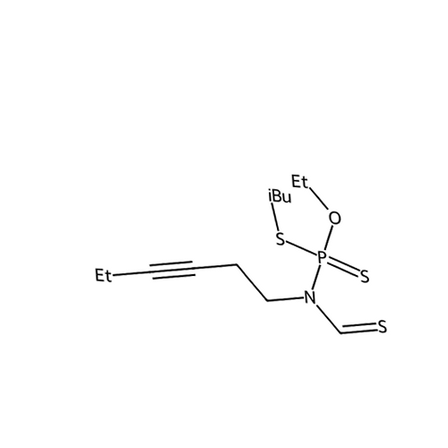 CCC#CCCN(C=S)P(=S)(OCC)SC(C)CC